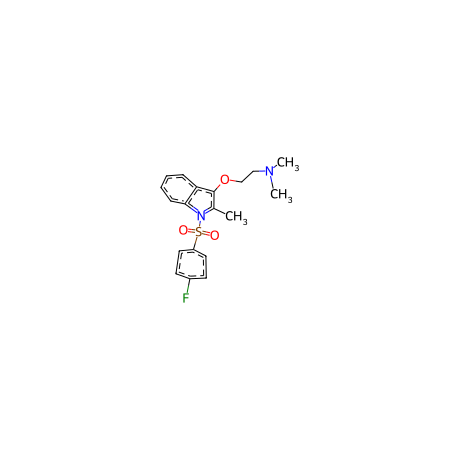 Cc1c(OCCN(C)C)c2ccccc2n1S(=O)(=O)c1ccc(F)cc1